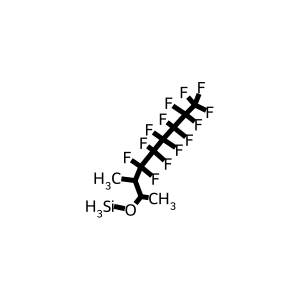 CC(O[SiH3])C(C)C(F)(F)C(F)(F)C(F)(F)C(F)(F)C(F)(F)C(F)(F)F